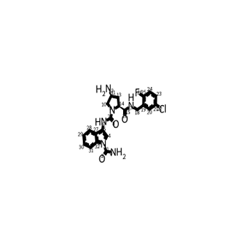 NC(=O)n1cc(NC(=O)N2C[C@@H](N)C[C@H]2C(=O)NCc2cc(Cl)ccc2F)c2ccccc21